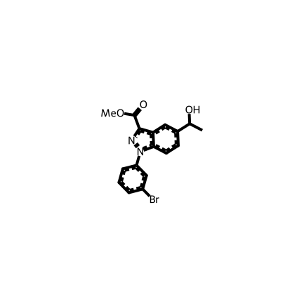 COC(=O)c1nn(-c2cccc(Br)c2)c2ccc(C(C)O)cc12